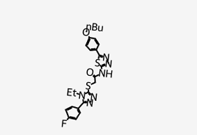 CCCCOc1ccc(-c2nnc(NC(=O)CSc3nnc(-c4ccc(F)cc4)n3CC)s2)cc1